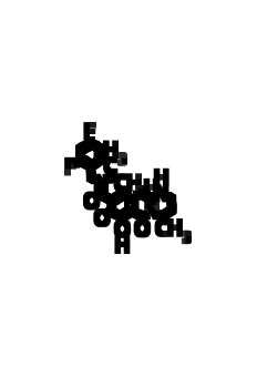 CC(C)N(Cc1ccc(F)cc1F)C(=O)c1cn2c(c(O)c1=O)C(=O)N1[C@@H](C)CCN[C@@H]1C2